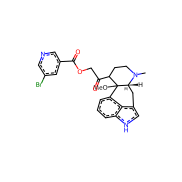 COC12c3cccc4[nH]cc(c34)C[C@H]1N(C)CCC2C(=O)COC(=O)c1cncc(Br)c1